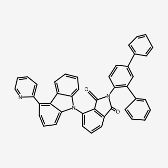 O=C1c2cccc(-n3c4ccccc4c4c(-c5ccccn5)cccc43)c2C(=O)N1c1ccc(-c2ccccc2)cc1-c1ccccc1